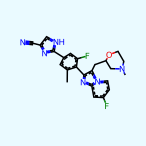 Cc1cc(-c2nc(C#N)c[nH]2)cc(F)c1-c1nc2cc(F)ccn2c1CC1CN(C)CCO1